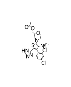 [C-]#[N+]c1c(N2CCOC(COC(C)=O)C2)sc(-c2nnc[nH]2)c1-c1ccc(Cl)cc1Cl